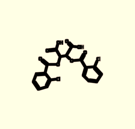 O=C(OC(C(=O)O)C(OC(=O)c1ccccc1Cl)C(=O)O)c1ccccc1Cl